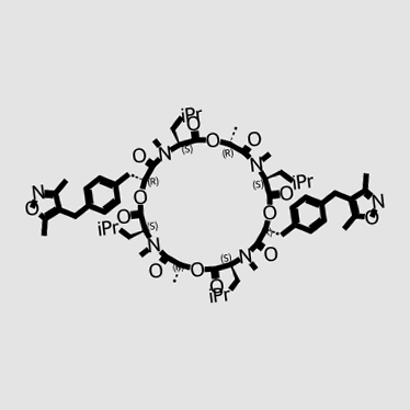 Cc1noc(C)c1Cc1ccc(C[C@H]2OC(=O)[C@H](CC(C)C)N(C)C(=O)[C@@H](C)OC(=O)[C@H](CC(C)C)N(C)C(=O)[C@@H](Cc3ccc(Cc4c(C)noc4C)cc3)OC(=O)[C@H](CC(C)C)N(C)C(=O)[C@@H](C)OC(=O)[C@H](CC(C)C)N(C)C2=O)cc1